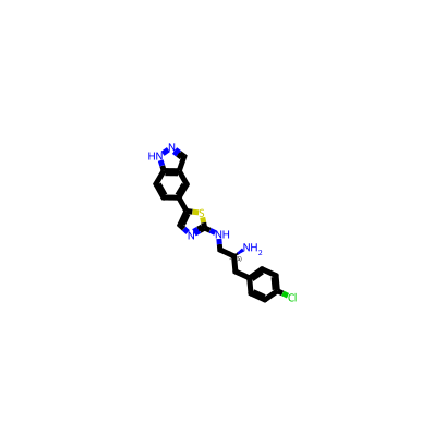 N[C@H](CNc1ncc(-c2ccc3[nH]ncc3c2)s1)Cc1ccc(Cl)cc1